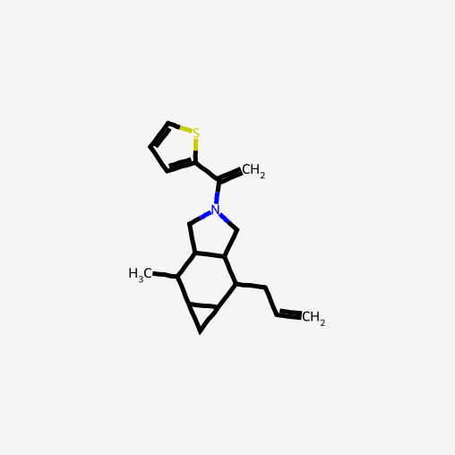 C=CCC1C2CC2C(C)C2CN(C(=C)c3cccs3)CC21